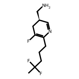 CC(F)(F)CCCC1=C(F)C[C@@H](CN)C=N1